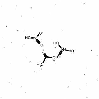 CC(=O)O.O=[N+]([O-])O.O=[PH](O)O